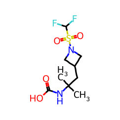 CC(C)(CC1CN(S(=O)(=O)C(F)F)C1)NC(=O)O